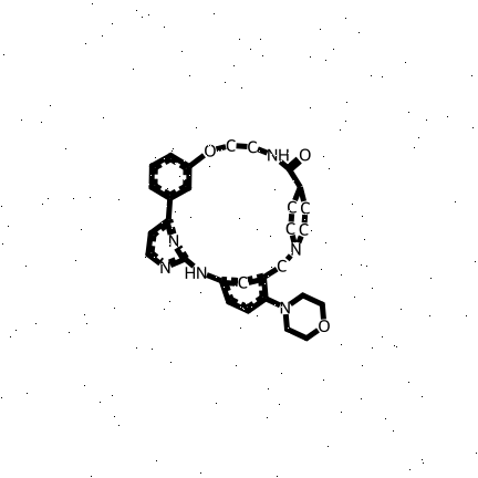 O=C1NCCOc2cccc(c2)-c2ccnc(n2)Nc2ccc(N3CCOCC3)c(c2)CN2CCC1CC2